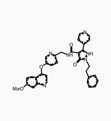 COc1ccc2c(Oc3ccc(CNC(=O)c4c(-c5ccncc5)[nH]n(CCc5ccccc5)c4=O)nc3)ccnc2c1